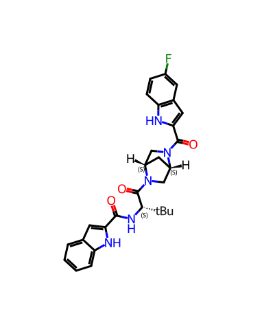 CC(C)(C)[C@H](NC(=O)c1cc2ccccc2[nH]1)C(=O)N1C[C@@H]2C[C@H]1CN2C(=O)c1cc2cc(F)ccc2[nH]1